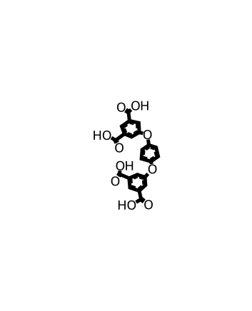 O=C(O)c1cc(Oc2ccc(Oc3cc(C(=O)O)cc(C(=O)O)c3)cc2)cc(C(=O)O)c1